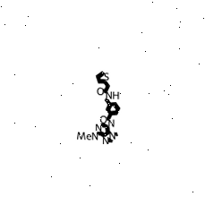 CNc1nc2oc(-c3cccc(CNC(=O)Cc4cccs4)c3)nc2c2c1ncn2C